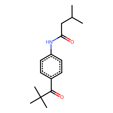 CC(C)CC(=O)Nc1ccc(C(=O)C(C)(C)C)cc1